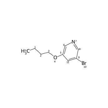 CCCCOc1cncc(Br)c1